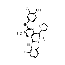 CN(c1nc(Nc2ccc(O)c(Cl)c2)ncc1C(=O)Nc1c(F)cccc1Cl)C1CCCO1.Cl